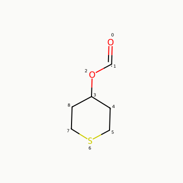 O=[C]OC1CCSCC1